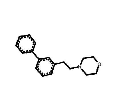 [c]1ccc(-c2ccccc2)cc1CCN1CCOCC1